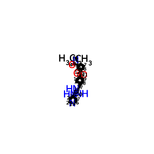 CN(C)C(=O)c1cccc(S(=O)(=O)c2ccc(CNC(=N)Nc3ccncc3)cc2)c1